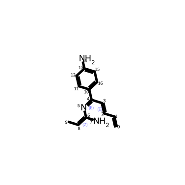 C=C/C=C/C(=N\C(N)=C/C)c1ccc(N)cc1